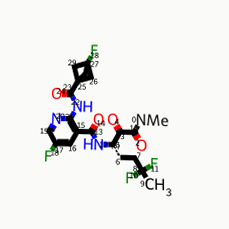 CNC(=O)C(=O)[C@H](CCC(C)(F)F)NC(=O)c1cc(F)cnc1NC(=O)C12CC(F)(C1)C2